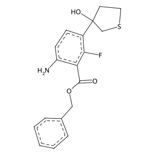 Nc1ccc(C2(O)CCSC2)c(F)c1C(=O)OCc1ccccc1